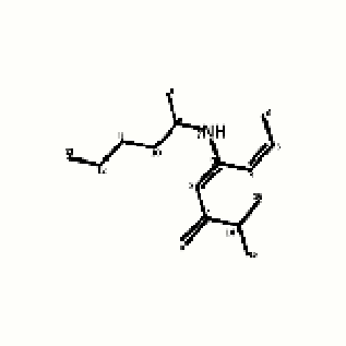 C=C(/C=C(\C=C/C)NC(C)CCCC)C(C)C